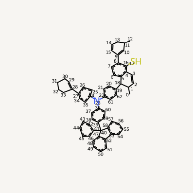 CC1C=Cc2c(ccc(C3=C[C@H](C)CC=C3)c2S)C1c1ccc(N(c2ccc(C3=CCCCC3)cc2)c2ccc(C3(c4ccccc4)c4ccccc4-c4ccccc43)cc2)cc1